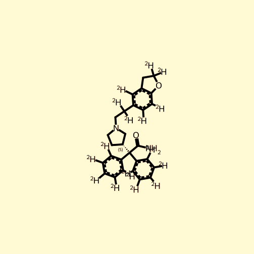 [2H]c1c([2H])c([2H])c(C(C(N)=O)(c2c([2H])c([2H])c([2H])c([2H])c2[2H])[C@@H]2CCN(CC([2H])([2H])c3c([2H])c([2H])c4c(c3[2H])CC([2H])([2H])O4)C2)c([2H])c1[2H]